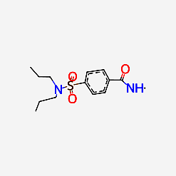 CCCN(CCC)S(=O)(=O)c1ccc(C([NH])=O)cc1